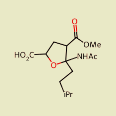 COC(=O)C1CC(C(=O)O)OC1(CCC(C)C)NC(C)=O